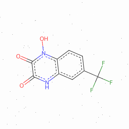 O=c1[nH]c2cc(C(F)(F)F)ccc2n(O)c1=O